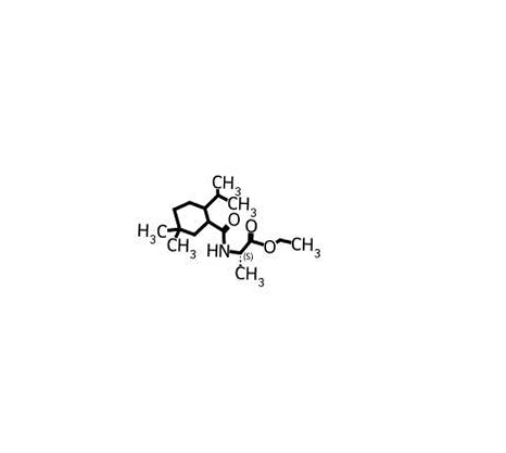 CCOC(=O)[C@H](C)NC(=O)C1CC(C)(C)CCC1C(C)C